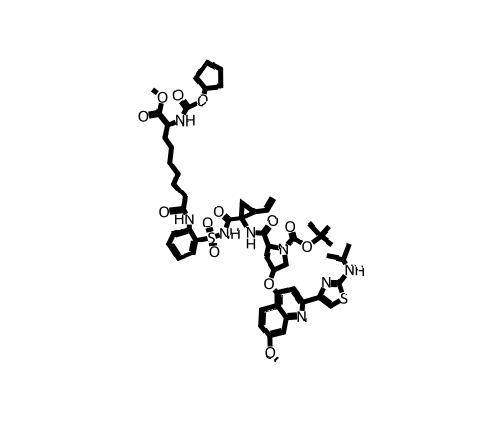 C=CC1CC1(NC(=O)C1CC(Oc2cc(-c3csc(NC(C)C)n3)nc3cc(OC)ccc23)CN1C(=O)OC(C)(C)C)C(=O)NS(=O)(=O)c1ccccc1NC(=O)CCCCCCC(NC(=O)OC1CCCC1)C(=O)OC